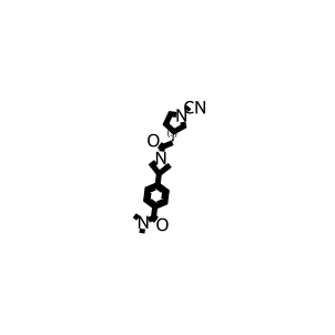 CN(C)C(=O)c1ccc(C2CN(C(=O)C[C@@H]3CCN(C#N)C3)C2)cc1